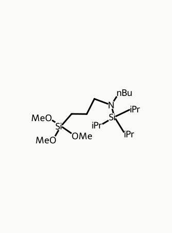 CCCCN(CCC[Si](OC)(OC)OC)[Si](C(C)C)(C(C)C)C(C)C